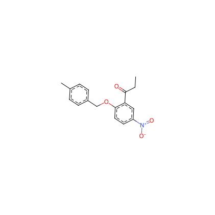 CCC(=O)c1cc([N+](=O)[O-])ccc1OCc1ccc(C)cc1